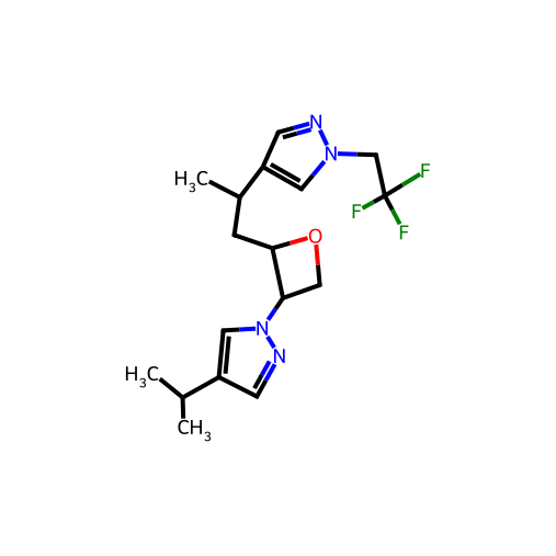 CC(C)c1cnn(C2COC2CC(C)c2cnn(CC(F)(F)F)c2)c1